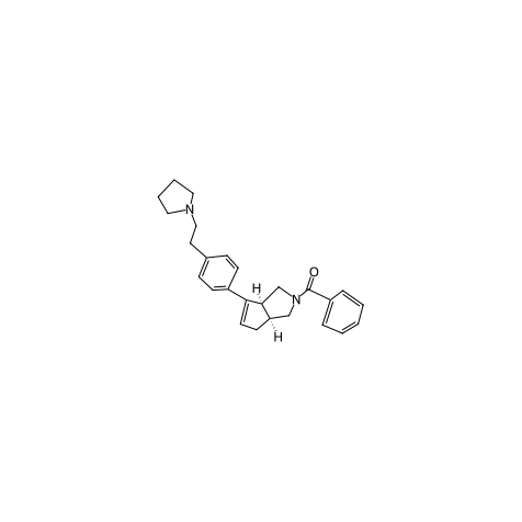 O=C(c1ccccc1)N1C[C@H]2CC=C(c3ccc(CCN4CCCC4)cc3)[C@H]2C1